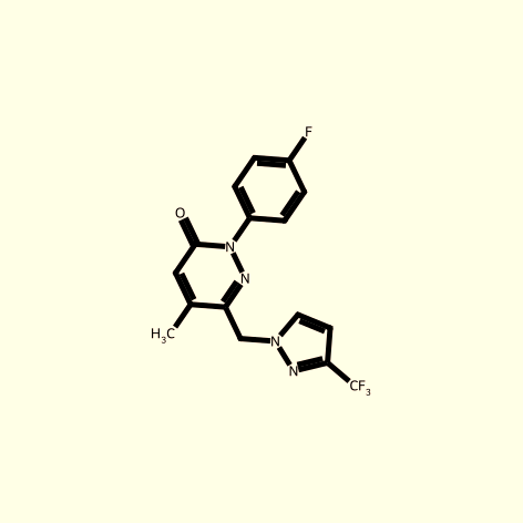 Cc1cc(=O)n(-c2ccc(F)cc2)nc1Cn1ccc(C(F)(F)F)n1